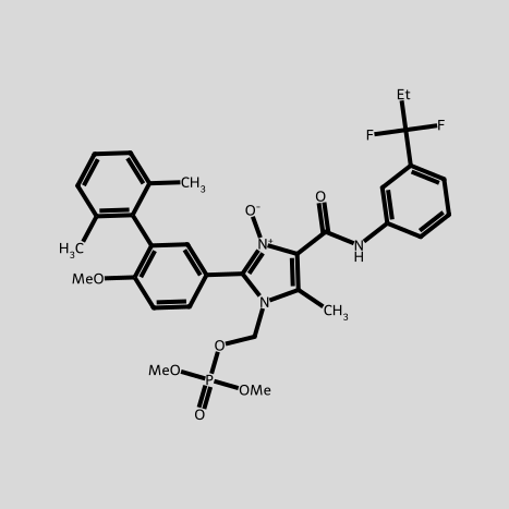 CCC(F)(F)c1cccc(NC(=O)c2c(C)n(COP(=O)(OC)OC)c(-c3ccc(OC)c(-c4c(C)cccc4C)c3)[n+]2[O-])c1